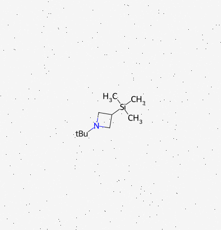 CC(C)(C)N1CC([Si](C)(C)C)C1